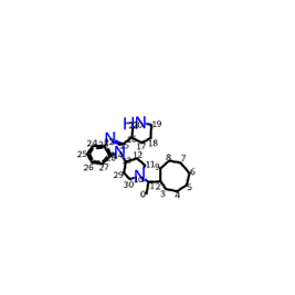 CC(C1CCCCCCC1)N1CCC(n2c(C3CCCNC3)nc3ccccc32)CC1